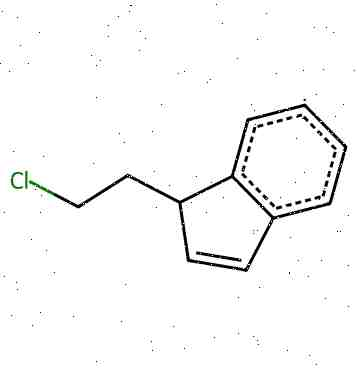 ClCCC1C=Cc2cc[c]cc21